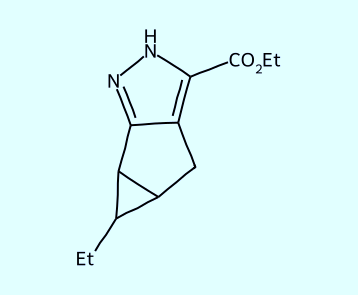 CCOC(=O)c1[nH]nc2c1CC1C(CC)C21